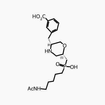 CC(=O)NCCCCCP(=O)(O)C[C@@H]1CN[C@H](Cc2cccc(C(=O)O)c2)CO1